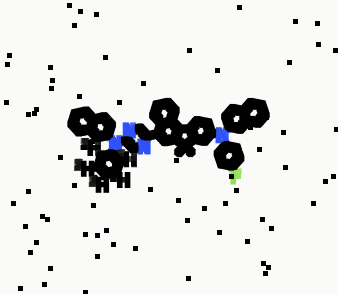 [2H]c1c([2H])c([2H])c(N(c2ccc3ccccc3c2)c2cnc(-c3cc4c(c5ccccc35)-c3ccc(N(c5ccc(F)cc5)c5ccc6ccccc6c5)cc3C4(C)C)cn2)c([2H])c1[2H]